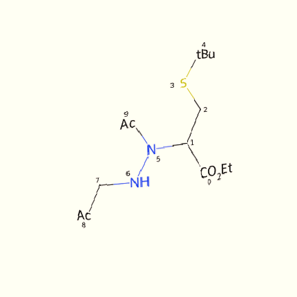 CCOC(=O)C(CSC(C)(C)C)N(NCC(C)=O)C(C)=O